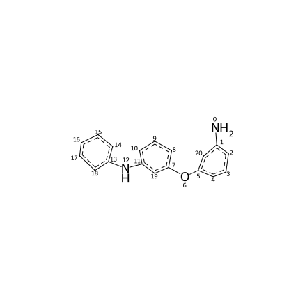 Nc1cccc(Oc2cccc(Nc3ccccc3)c2)c1